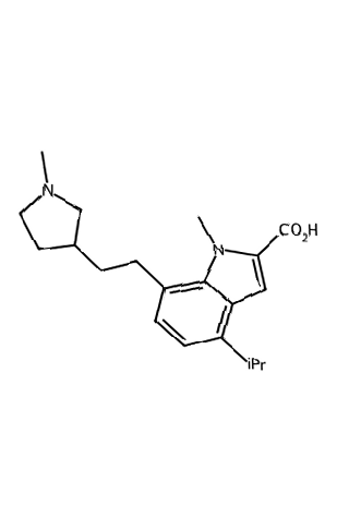 CC(C)c1ccc(CCC2CCN(C)C2)c2c1cc(C(=O)O)n2C